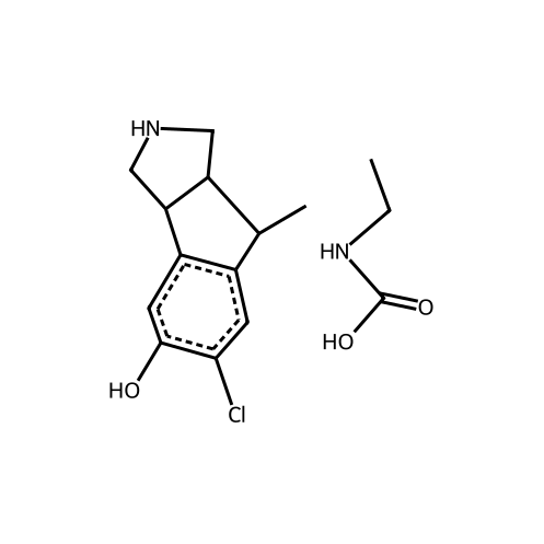 CC1c2cc(Cl)c(O)cc2C2CNCC12.CCNC(=O)O